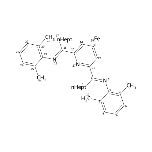 CCCCCCCC(=Nc1c(C)cccc1C)c1cccc(C(CCCCCCC)=Nc2c(C)cccc2C)n1.[Fe]